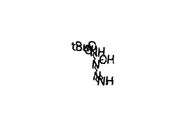 CC(C)(C)OC(=O)NCCCN(CCO)CCCN1CCNCC1